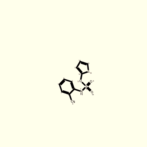 N#Cc1ccccc1NS(=O)(=O)Oc1cccs1